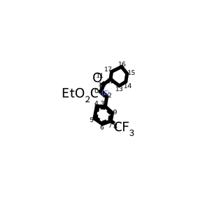 CCOC(=O)/C(=C\c1cccc(C(F)(F)F)c1)C(=O)C1CCCCC1